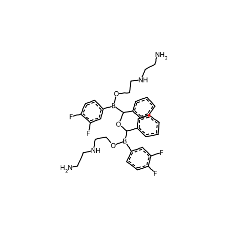 NCCNCCOB(c1ccc(F)c(F)c1)C(OC(B(OCCNCCN)c1ccc(F)c(F)c1)c1ccccc1)c1ccccc1